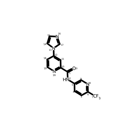 O=C(Nc1ccc(C(F)(F)F)nc1)c1cc(-n2ccnc2)ccn1